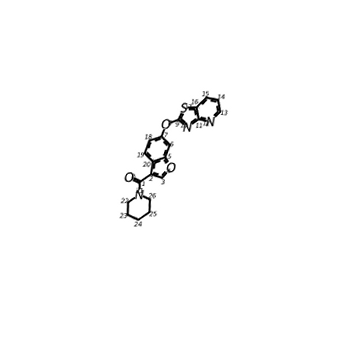 O=C(c1coc2cc(Oc3nc4ncccc4s3)ccc12)N1CCCCC1